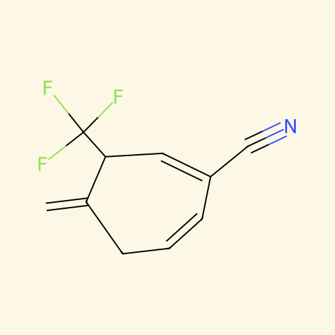 C=C1CC=CC(C#N)=CC1C(F)(F)F